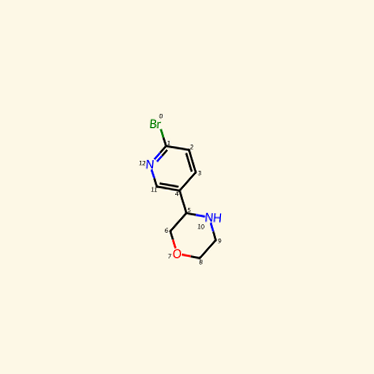 Brc1ccc(C2COCCN2)cn1